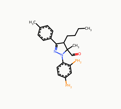 CCCCC1C(c2ccc(C)cc2)=NN(c2ccc(P)cc2P)C1(C)C=O